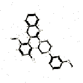 COc1cccc(N2CCN(C3=Nc4ccccc4[C]N3c3cc(Cl)ccc3OC)CC2)c1